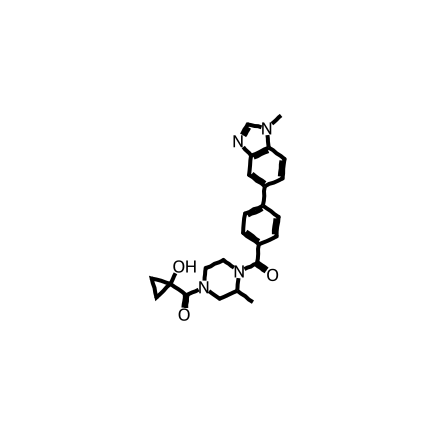 CC1CN(C(=O)C2(O)CC2)CCN1C(=O)c1ccc(-c2ccc3c(c2)ncn3C)cc1